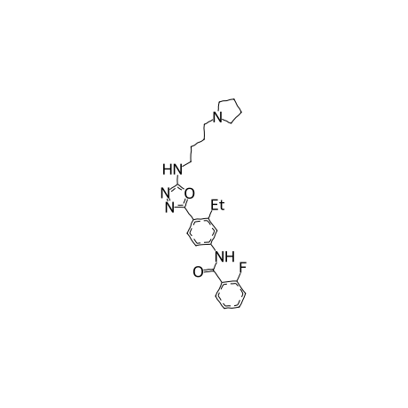 CCc1cc(NC(=O)c2ccccc2F)ccc1-c1nnc(NCCCCN2CCCC2)o1